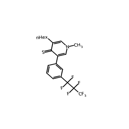 CCCCCCc1cn(C)cc(-c2cccc(C(F)(F)C(F)(F)C(F)(F)F)c2)c1=S